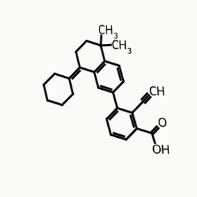 C#Cc1c(C(=O)O)cccc1-c1ccc2c(c1)C(=C1CCCCC1)CCC2(C)C